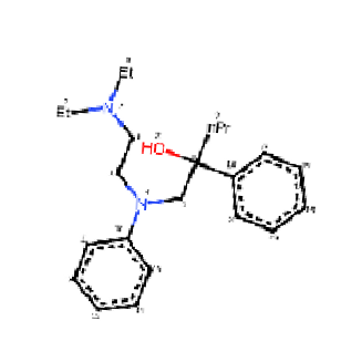 CCCC(O)(CN(CCN(CC)CC)c1ccccc1)c1ccccc1